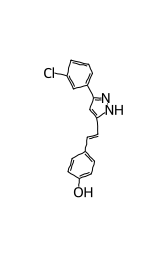 Oc1ccc(C=Cc2cc(-c3cccc(Cl)c3)n[nH]2)cc1